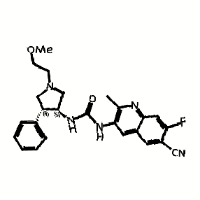 COCCN1C[C@@H](NC(=O)Nc2cc3cc(C#N)c(F)cc3nc2C)[C@H](c2ccccc2)C1